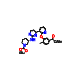 COC(=O)c1ccc(C)c(Oc2ncccc2-c2ccnc(N[C@H]3CCCN(C(=O)OC(C)(C)C)C3)n2)c1